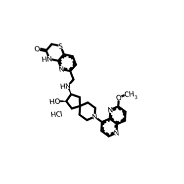 COc1ccc2nccc(N3CCC4(CC3)C[C@@H](O)[C@@H](NCc3ccc5c(n3)NC(=O)CS5)C4)c2n1.Cl